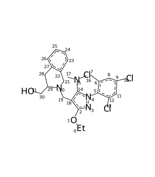 CCOc1nn(-c2c(Cl)cc(Cl)cc2Cl)c(N(C)C)c1CN1Cc2ccccc2CC1CO